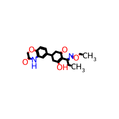 CCON=C(CC)C1=C(O)CC(c2ccc3c(c2)NC(=O)CO3)CC1=O